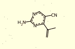 C=C(C)c1nc(N)ncc1C#N